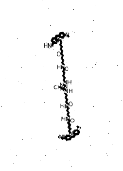 CNCc1ccc2cc3ccc(N(C)C)cc3[n+](CCCCCC(=O)CCCCCNC(=O)CCCCCNc3nc(Cl)nc(NCCCCCC(=O)NCCCCCNC(=O)CCCCC[n+]4c5cc(CNC)ccc5cc5ccc(N(C)C)cc54)n3)c2c1